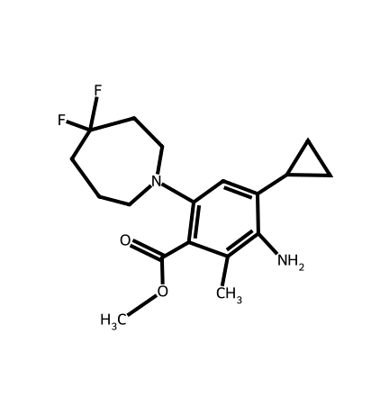 COC(=O)c1c(N2CCCC(F)(F)CC2)cc(C2CC2)c(N)c1C